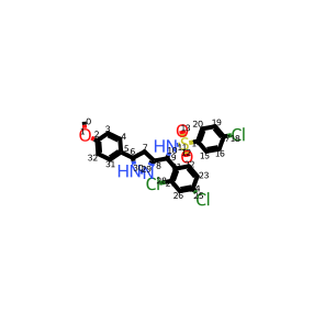 COc1ccc(C2CC(C(NS(=O)(=O)c3ccc(Cl)cc3)c3ccc(Cl)cc3Cl)=NN2)cc1